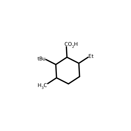 CCC1CCC(C)C(C(C)(C)C)C1C(=O)O